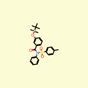 Cc1ccc(S(=O)(=O)N(C(=O)c2cccc(O[Si](C)(C)C(C)(C)C)c2)c2ccccc2)cc1